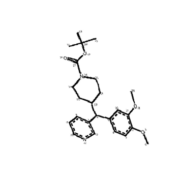 COc1ccc(C(c2cccnc2)C2CCN(C(=O)OC(C)(C)C)CC2)cc1OC